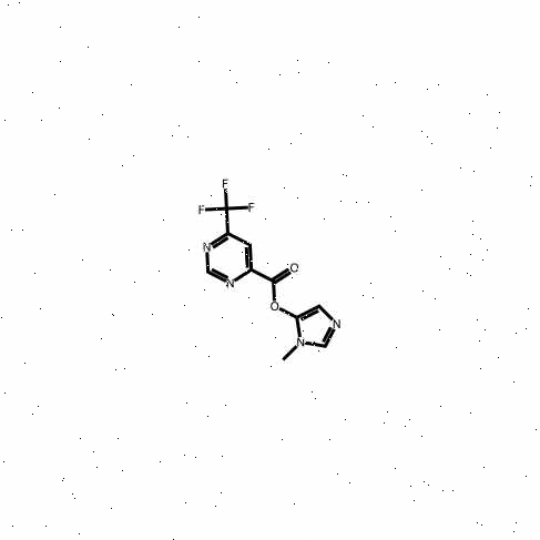 Cn1cncc1OC(=O)c1cc(C(F)(F)F)ncn1